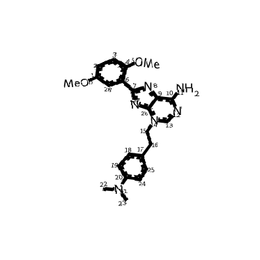 COc1ccc(OC)c(-c2nc3c(N)ncn(CCc4ccc(N(C)C)cc4)c-3n2)c1